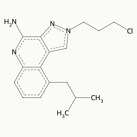 CC(C)Cc1cccc2nc(N)c3nn(CCCCl)cc3c12